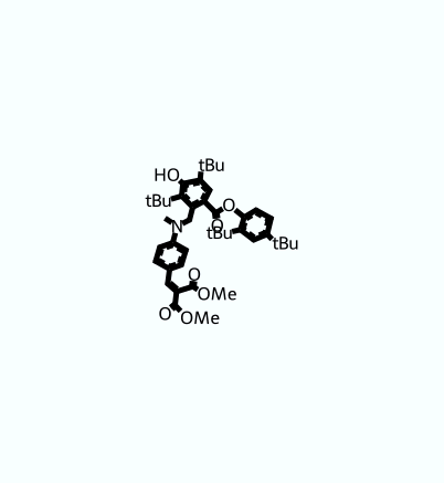 COC(=O)C(=Cc1ccc(N(C)Cc2c(C(=O)Oc3ccc(C(C)(C)C)cc3C(C)(C)C)cc(C(C)(C)C)c(O)c2C(C)(C)C)cc1)C(=O)OC